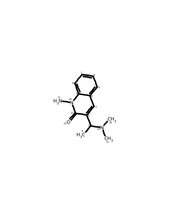 CC(c1cc2ccccc2n(N)c1=O)N(C)C